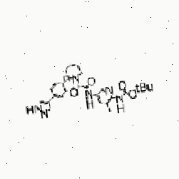 Cc1cc(NC(=O)C(=O)N2CCCC[C@H]2c2ccc(-c3cn[nH]c3)cc2)cnc1NC(=O)OC(C)(C)C